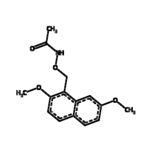 COc1ccc2ccc(OC)c(CONC(C)=O)c2c1